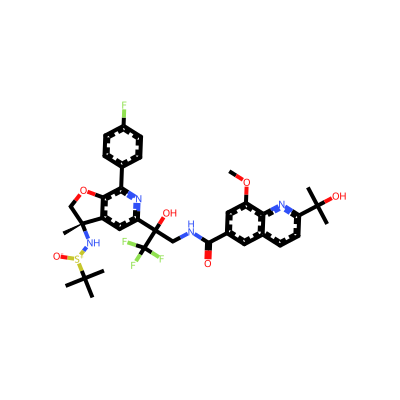 COc1cc(C(=O)NCC(O)(c2cc3c(c(-c4ccc(F)cc4)n2)OC[C@@]3(C)N[S+]([O-])C(C)(C)C)C(F)(F)F)cc2ccc(C(C)(C)O)nc12